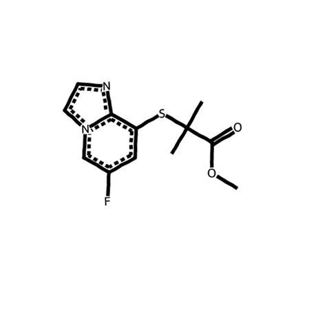 COC(=O)C(C)(C)Sc1cc(F)cn2ccnc12